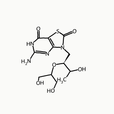 CC(O)[C@H](Cn1c(=O)sc2c(=O)[nH]c(N)nc21)OC(CO)CO